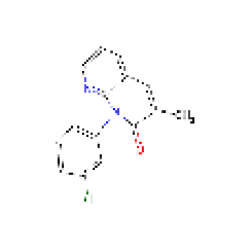 Cc1cc2cccnc2n(-c2cccc(Cl)c2)c1=O